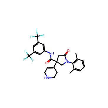 Cc1cccc(C)c1N1CC(C(=O)Nc2cc(C(F)(F)F)cc(C(F)(F)F)c2)(C2=CCNCC2)CC1=O